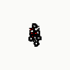 C1=CCC(C2=CC=CC3SC4C=CC=CC4C4(c5ccccc5Sc5ccc(-c6cccc7c6N(c6ccccc6)C6C=CC=CC76)cc54)C23)C=C1